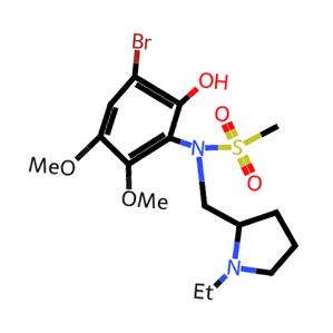 CCN1CCCC1CN(c1c(O)c(Br)cc(OC)c1OC)S(C)(=O)=O